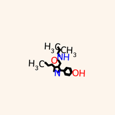 CCCCC1CN=C(c2ccc(O)cc2)C1CC(=O)NCC(C)C